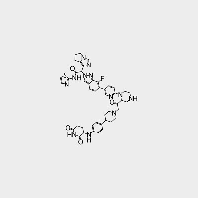 O=C1CCC(Nc2ccc(C3CCN(CC(=O)C4CNCCN4c4ccc(-c5ccc6cn(C(C(=O)Nc7nccs7)c7ncn8c7CCC8)nc6c5F)cn4)CC3)cc2)C(=O)N1